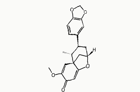 COC1=C[C@]23C[C@H](C[C@H](c4ccc5c(c4)OCO5)[C@H]2C)OC3=CC1=O